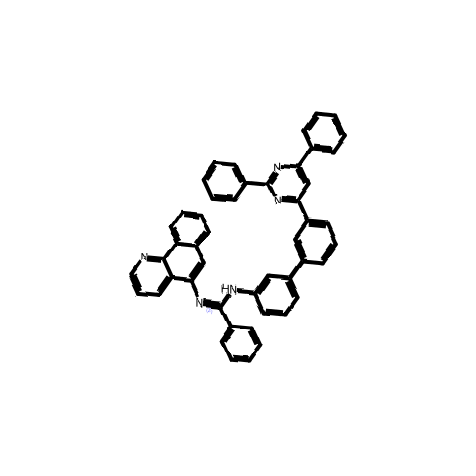 c1ccc(/C(=N/c2cc3ccccc3c3ncccc23)Nc2cccc(-c3cccc(-c4cc(-c5ccccc5)nc(-c5ccccc5)n4)c3)c2)cc1